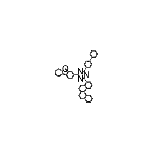 c1ccc(-c2ccc(-c3nc(-c4ccc5c(c4)oc4ccccc45)nc(-c4cccc5c4ccc4ccc6ccccc6c45)n3)cc2)cc1